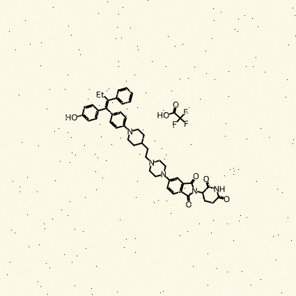 CCC(=C(c1ccc(O)cc1)c1ccc(N2CCC(CCN3CCN(c4ccc5c(c4)C(=O)N(C4CCC(=O)NC4=O)C5=O)CC3)CC2)cc1)c1ccccc1.O=C(O)C(F)(F)F